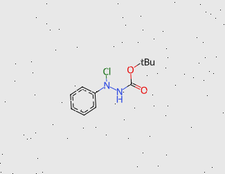 CC(C)(C)OC(=O)NN(Cl)c1ccccc1